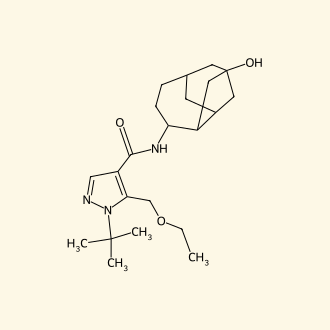 CCOCc1c(C(=O)NC2CCC3CC4CC(O)(C3)CC42)cnn1C(C)(C)C